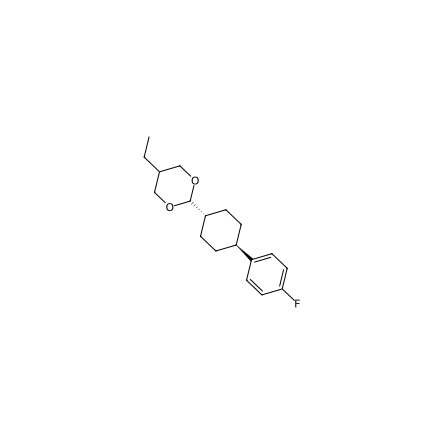 CCC1COC([C@H]2CC[C@H](c3ccc(F)cc3)CC2)OC1